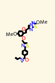 C=CCN(C)C(=O)c1ccc(-c2nc(COc3cc(OC)cc4oc(-c5cn6nc(OC)sc6n5)cc34)cs2)cc1